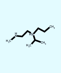 CCC[SiH](CCNC)C(C)C